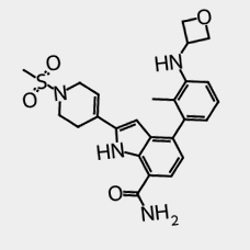 Cc1c(NC2COC2)cccc1-c1ccc(C(N)=O)c2[nH]c(C3=CCN(S(C)(=O)=O)CC3)cc12